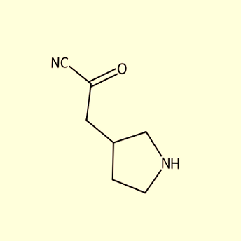 N#CC(=O)CC1CCNC1